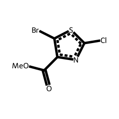 COC(=O)c1nc(Cl)sc1Br